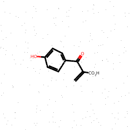 C=C(C(=O)O)C(=O)c1ccc(O)cc1